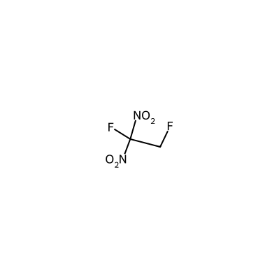 O=[N+]([O-])C(F)(CF)[N+](=O)[O-]